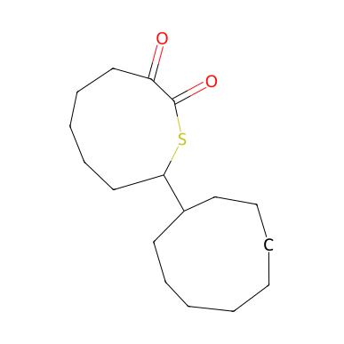 O=C1CCCCCC(C2CCCCCCCC2)SC1=O